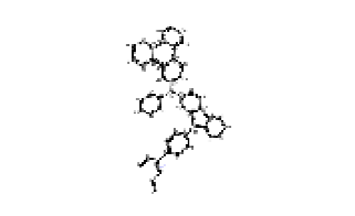 C=C/C=C(\C=C)c1ccc(-n2c3ccccc3c3ccc(N(c4ccccc4)c4ccc5c6ccccc6c6ccccc6c5c4)cc32)cc1